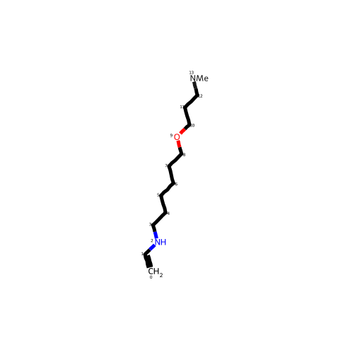 C=CNCCCCCCOCCCNC